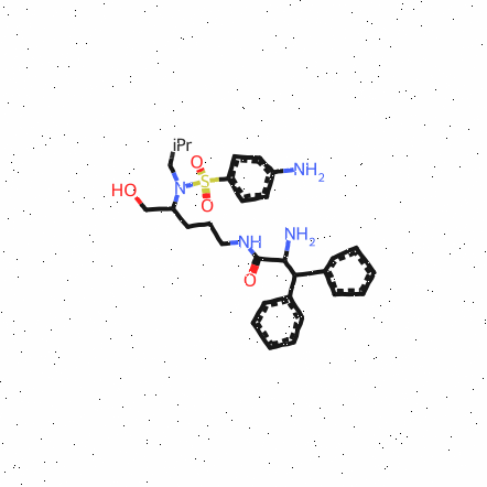 CC(C)CN(C(CO)CCCNC(=O)C(N)C(c1ccccc1)c1ccccc1)S(=O)(=O)c1ccc(N)cc1